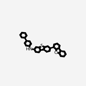 c1ccc(-c2ccc(Nc3ccc4c(c3)sc3cc(-c5cccc6c5oc5ccccc56)ccc34)cc2)cc1